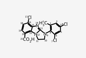 Cc1cc(Cl)cc(Cl)c1N1CCn2c1nc1c(Cl)ccc(C(=O)O)c12